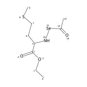 CCOC(=O)C(CCSC)N[Se]C(C)=O